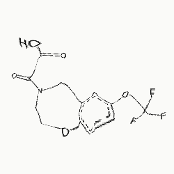 O=C(O)C(=O)N1CCOc2ccc(OC(F)(F)F)cc2C1